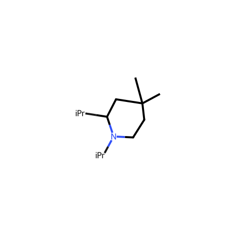 CC(C)C1CC(C)(C)CCN1C(C)C